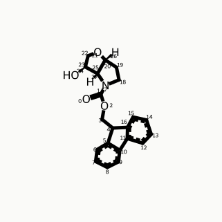 O=C(OCC1c2ccccc2-c2ccccc21)N1CC[C@H]2OC[C@H](O)[C@H]21